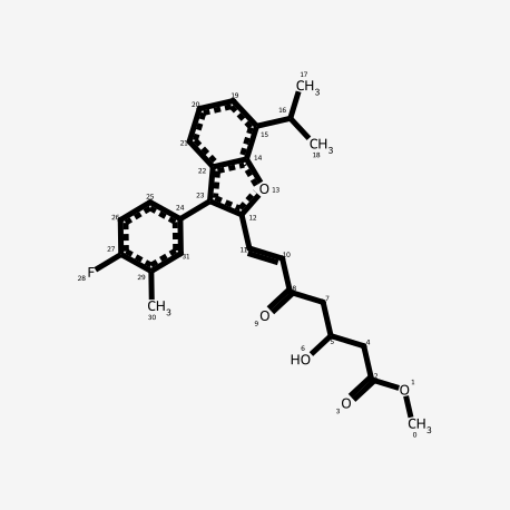 COC(=O)CC(O)CC(=O)C=Cc1oc2c(C(C)C)cccc2c1-c1ccc(F)c(C)c1